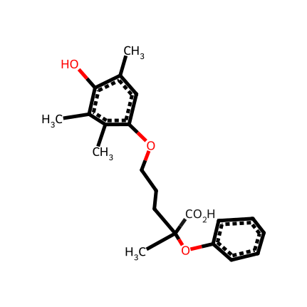 Cc1cc(OCCCC(C)(Oc2ccccc2)C(=O)O)c(C)c(C)c1O